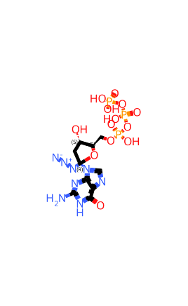 [N-]=[N+]=N[C@]1(n2cnc3c(=O)[nH]c(N)nc32)C[C@H](O)[C@@H](COP(=O)(O)OP(=O)(O)OP(=O)(O)O)O1